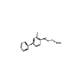 C[N]CCOc1ccc(-c2ccccc2)cc1I